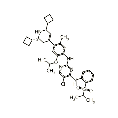 Cc1cc(Nc2ncc(Cl)c(Nc3ccccc3S(=O)(=O)C(C)C)n2)c(OC(C)C)cc1C1=CC(C2CCC2)N[C@@H](C2CCC2)C1